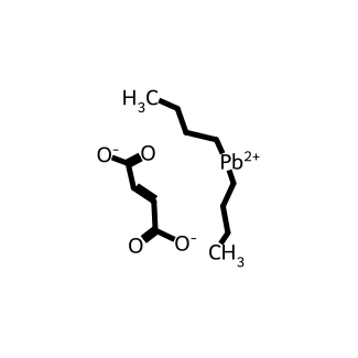 CCC[CH2][Pb+2][CH2]CCC.O=C([O-])C=CC(=O)[O-]